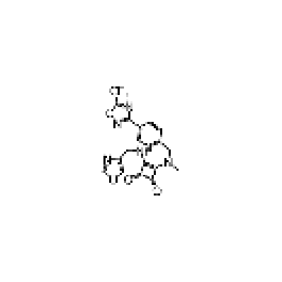 CN(Cc1ccc(-c2noc(C(F)(F)F)n2)cn1)c1c(NCc2cocn2)c(=O)c1=O